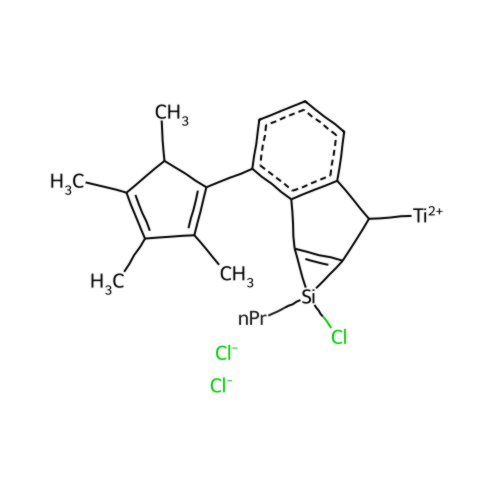 CCC[Si]1(Cl)C2=C1[CH]([Ti+2])c1cccc(C3=C(C)C(C)=C(C)C3C)c12.[Cl-].[Cl-]